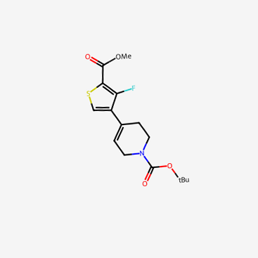 COC(=O)c1scc(C2=CCN(C(=O)OC(C)(C)C)CC2)c1F